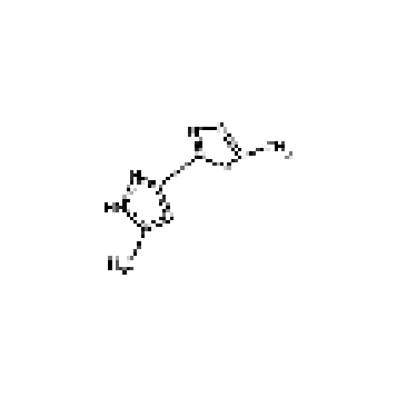 CC1=NN=C(c2cc(C)[nH]n2)[N]1